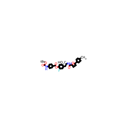 Cc1ccc(-c2ccc(C(=O)NC(Cc3ccc(OC(=O)c4ccc(NC(=O)OC(C)(C)C)cc4)c(F)c3)C(=O)O)o2)cc1